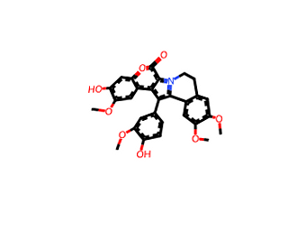 COc1cc(-c2c3n(c4c(=O)oc5cc(O)c(OC)cc5c24)CCc2cc(OC)c(OC)cc2-3)ccc1O